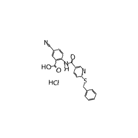 Cl.N#Cc1ccc(NC(=O)c2ccc(SCc3ccccc3)nc2)c(C(=O)O)c1